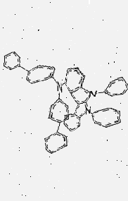 c1ccc(-c2ccc(N(c3ccc(-c4ccccc4)cc3)c3cccc4c3c3c5ccccc5n(-c5ccccc5)c3n4-c3ccccc3)cc2)cc1